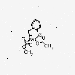 COS(=O)(=O)N[C@@H]1OC(C)O[C@@H]1c1ccccc1I